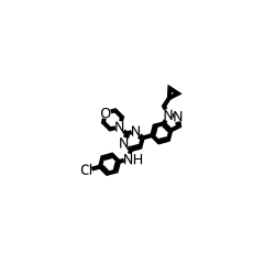 Clc1ccc(Nc2cc(-c3ccc4cnn(CC5CC5)c4c3)nc(N3CCOCC3)n2)cc1